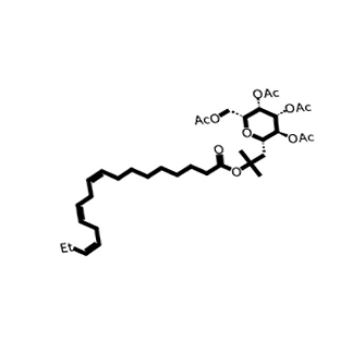 CC/C=C\C/C=C\C/C=C\CCCCCCCC(=O)OC(C)(C)C[C@@H]1O[C@H](COC(C)=O)[C@H](OC(C)=O)[C@H](OC(C)=O)[C@H]1OC(C)=O